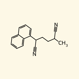 CC(C#N)CCC(C#N)c1cccc2ccccc12